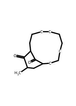 CC1CC2CCCCCCCCCC(C1=O)C2=O